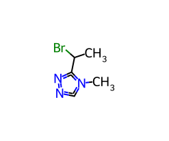 CC(Br)c1nncn1C